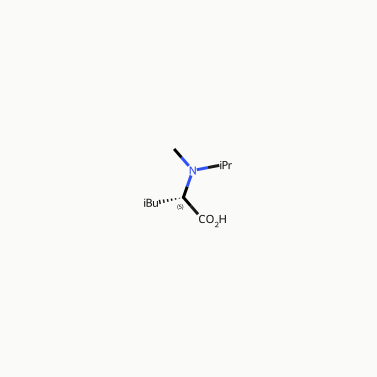 CCC(C)[C@@H](C(=O)O)N(C)C(C)C